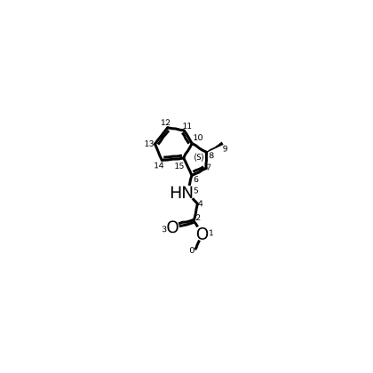 COC(=O)CNC1=C[C@H](C)c2ccccc21